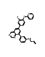 C=CCNc1cccc(-c2cc(-c3ccc(Oc4ccccn4)c(F)c3)cc3cncnc23)c1